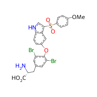 COc1ccc(S(=O)(=O)c2c[nH]c3ccc(Oc4c(Br)cc(C[C@@H](N)C(=O)O)cc4Br)cc23)cc1